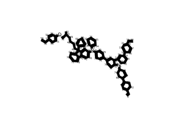 C=CC1=CC=C(C2C=CC(N3C4CC=C(c5ccc(C=C)cc5)C=C4C4C=C(c5ccc(N(c6ccccc6)c6ccc7c(c6)C(CCCCC(C)COc6ccc(C=C)cc6)(c6ccccc6)c6ccccc6-7)cc5)C=CC43)CC2)CC1